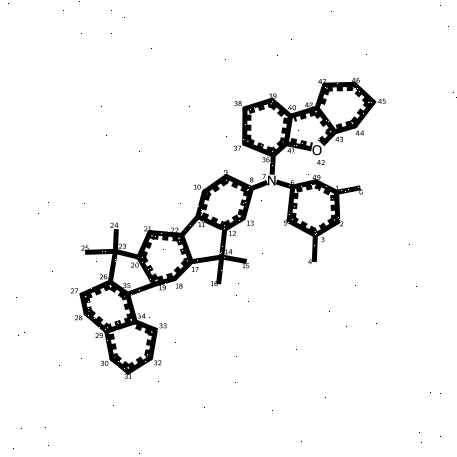 Cc1cc(C)cc(N(c2ccc3c(c2)C(C)(C)c2cc4c(cc2-3)C(C)(C)c2ccc3ccccc3c2-4)c2cccc3c2oc2ccccc23)c1